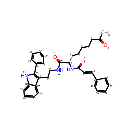 CC(=O)CCCCC[C@H](NC(=O)/C=C/c1ccccc1)C(=O)NCCc1c(-c2ccccc2)[nH]c2ccccc12